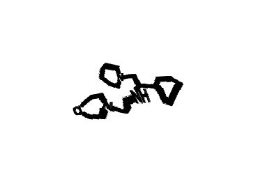 c1ccc(C(CN2CCCCC2)NCCN2CCOCC2)cc1